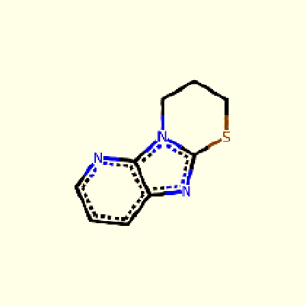 c1cnc2c(c1)nc1n2CCCS1